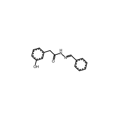 O=C(Cc1cccc(O)c1)NN=Cc1ccccc1